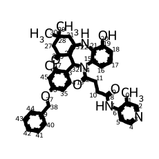 Cc1cnccc1NC(=O)CCC(=O)N1c2cccc(O)c2NC2=C(C(=O)CC(C)(C)C2)C1c1ccc(OCc2ccccc2)cc1Cl